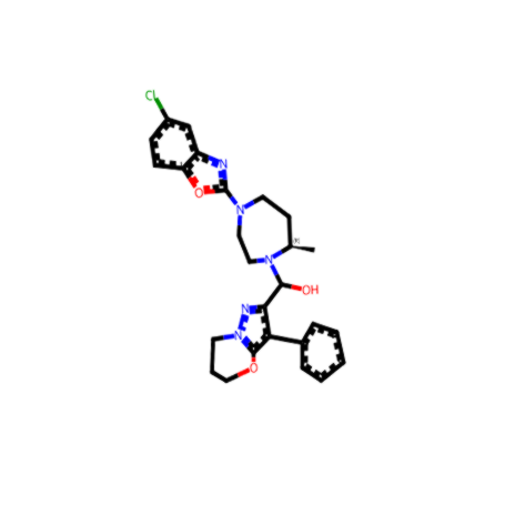 C[C@@H]1CCN(c2nc3cc(Cl)ccc3o2)CCN1C(O)c1nn2c(c1-c1ccccc1)OCCC2